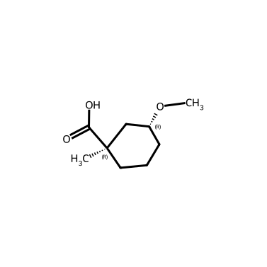 CO[C@@H]1CCC[C@@](C)(C(=O)O)C1